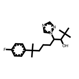 CC(C)(CCCC(C(O)C(C)(C)C)n1cncn1)c1ccc(F)cc1